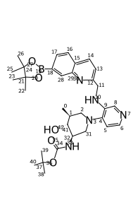 C[C@H]1CN(c2ccncc2NCc2ccc3ccc(B4OC(C)(C)C(C)(C)O4)cc3n2)C[C@@H](NC(=O)OC(C)(C)C)[C@@H]1O